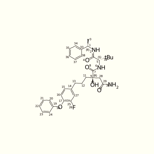 C[C@@H](NC(=O)[C@@H](NC(=O)[C@@](O)(CCCc1ccc(Oc2ccccc2)c(F)c1)CC(N)=O)C(C)(C)C)c1ccccc1